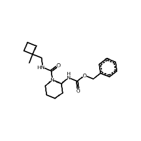 CC1(CNC(=O)N2CCCCC2NC(=O)OCc2ccccc2)CCC1